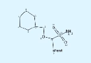 CCCCCC(OCC1CCCCC1)S(N)(=O)=O